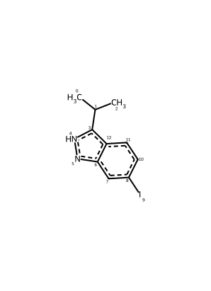 CC(C)c1[nH]nc2cc(I)ccc12